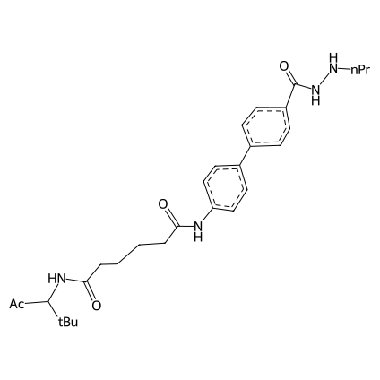 CCCNNC(=O)c1ccc(-c2ccc(NC(=O)CCCCC(=O)NC(C(C)=O)C(C)(C)C)cc2)cc1